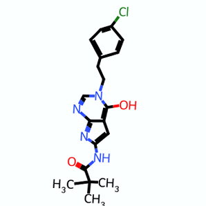 CC(C)(C)C(=O)Nc1cc2c(O)n(CCc3ccc(Cl)cc3)cnc-2n1